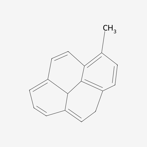 Cc1ccc2c3c1C=CC1=CC=CC(=CC2)C13